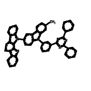 Cc1ccc2c3cc(-n4c5ccccc5c5ccc6c7ccccc7sc6c54)ccc3n(-c3cccc(-c4nc(-c5ccccc5)nc(-c5ccccc5)n4)c3)c2c1